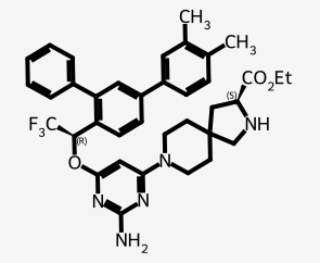 CCOC(=O)[C@@H]1CC2(CCN(c3cc(O[C@H](c4ccc(-c5ccc(C)c(C)c5)cc4-c4ccccc4)C(F)(F)F)nc(N)n3)CC2)CN1